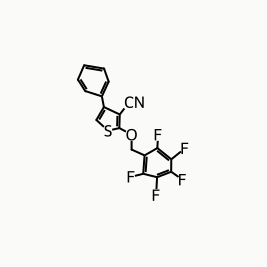 N#Cc1c(-c2ccccc2)csc1OCc1c(F)c(F)c(F)c(F)c1F